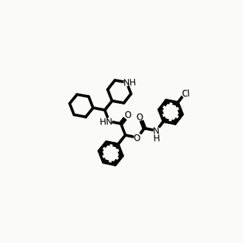 O=C(Nc1ccc(Cl)cc1)OC(C(=O)NC(C1CCCCC1)C1CCNCC1)c1ccccc1